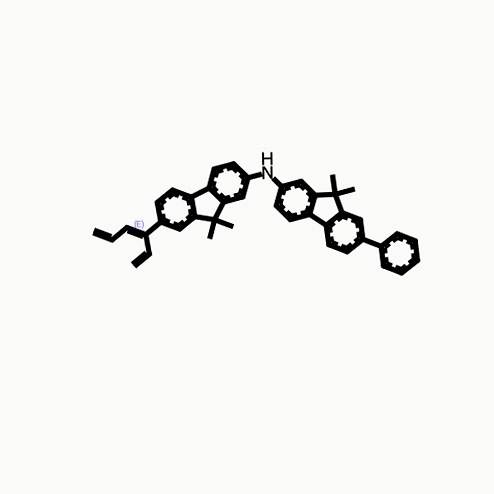 C=C/C=C(\C=C)c1ccc2c(c1)C(C)(C)c1cc(Nc3ccc4c(c3)C(C)(C)c3cc(-c5ccccc5)ccc3-4)ccc1-2